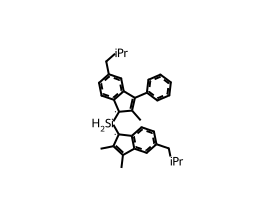 CC1=C(C)c2cc(CC(C)C)ccc2[C]1[SiH2][C]1C(C)=C(c2ccccc2)c2cc(CC(C)C)ccc21